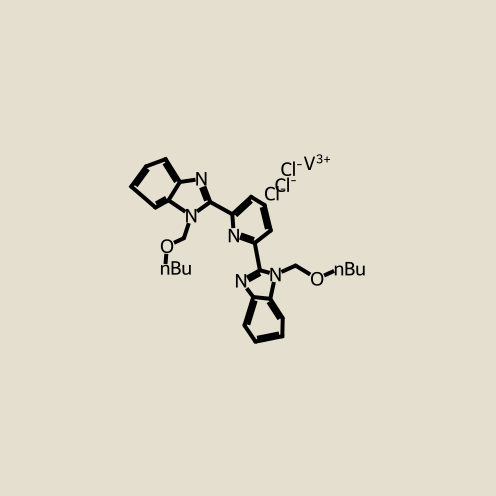 CCCCOCn1c(-c2cccc(-c3nc4ccccc4n3COCCCC)n2)nc2ccccc21.[Cl-].[Cl-].[Cl-].[V+3]